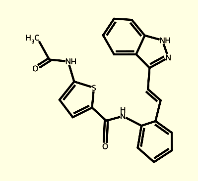 CC(=O)Nc1ccc(C(=O)Nc2ccccc2/C=C/c2n[nH]c3ccccc23)s1